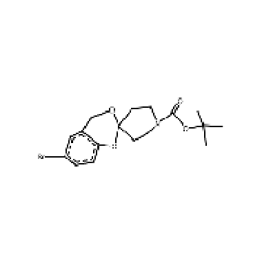 CC(C)(C)OC(=O)N1CCC2(CC1)OCc1cc(Br)ccc1O2